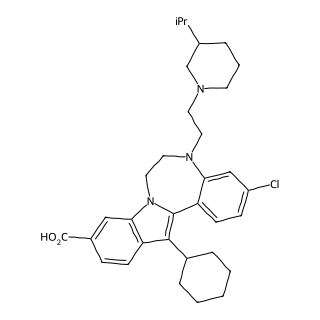 CC(C)C1CCCN(CCN2CCn3c(c(C4CCCCC4)c4ccc(C(=O)O)cc43)-c3ccc(Cl)cc32)C1